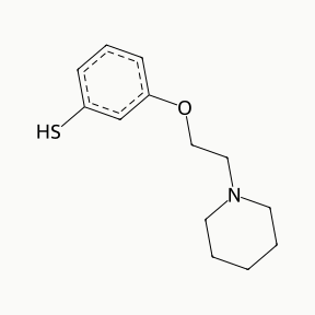 Sc1cccc(OCCN2CCCCC2)c1